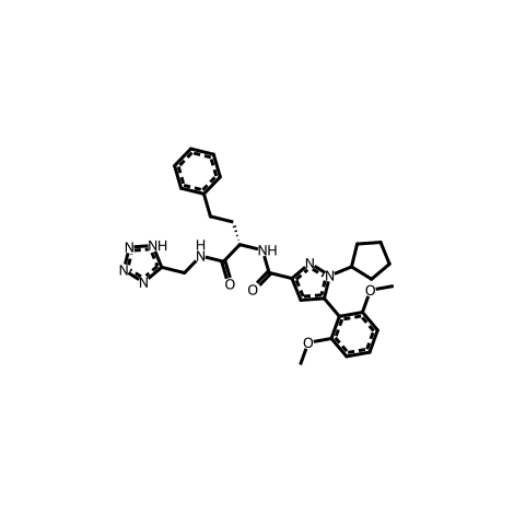 COc1cccc(OC)c1-c1cc(C(=O)N[C@@H](CCc2ccccc2)C(=O)NCc2nnn[nH]2)nn1C1CCCC1